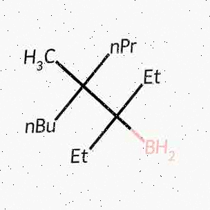 BC(CC)(CC)C(C)(CCC)CCCC